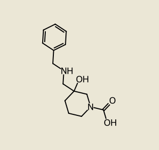 O=C(O)N1CCCC(O)(CNCc2ccccc2)C1